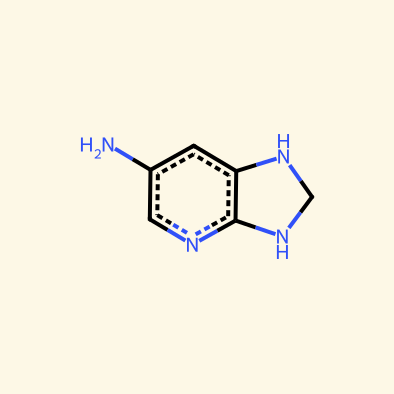 Nc1cnc2c(c1)NCN2